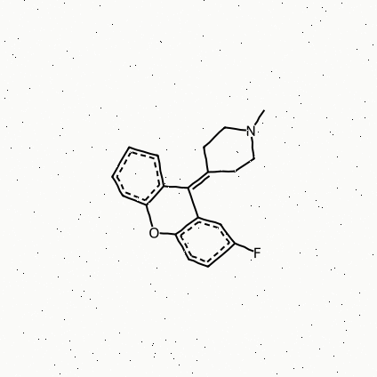 CN1CCC(=C2c3ccccc3Oc3ccc(F)cc32)CC1